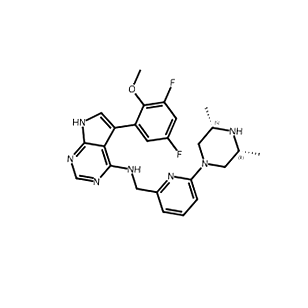 COc1c(F)cc(F)cc1-c1c[nH]c2ncnc(NCc3cccc(N4C[C@@H](C)N[C@@H](C)C4)n3)c12